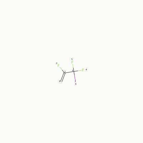 C=C(F)C(F)(F)I